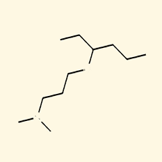 CCCC(CC)OCCCN(C)C